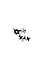 CC(C)(COc1ccc(F)cc1COS(C)(=O)=O)NC(=O)OC(C)(C)C